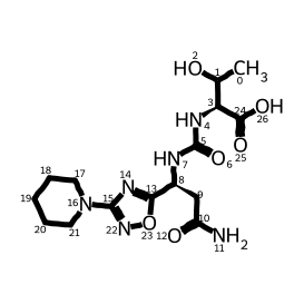 CC(O)[C@H](NC(=O)N[C@@H](CC(N)=O)c1nc(N2CCCCC2)no1)C(=O)O